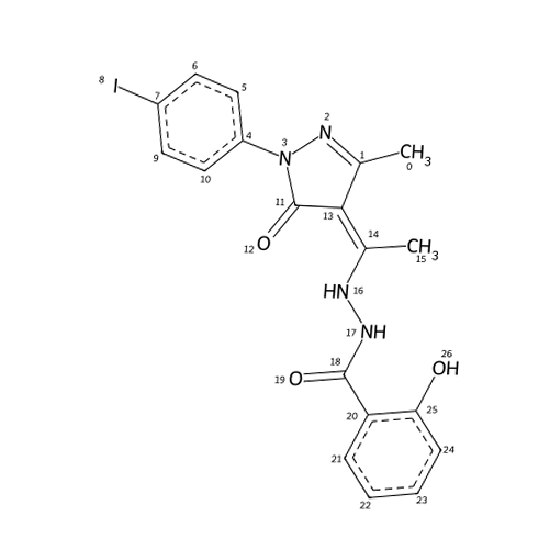 CC1=NN(c2ccc(I)cc2)C(=O)/C1=C(/C)NNC(=O)c1ccccc1O